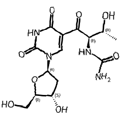 C[C@@H](O)[C@@H](NC(N)=O)C(=O)c1cn([C@H]2C[C@H](O)[C@@H](CO)O2)c(=O)[nH]c1=O